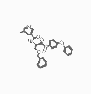 Cc1cncc(C(=O)NC(COCc2ccccc2)C(=O)Nc2ccc(Oc3ccccc3)cc2)c1